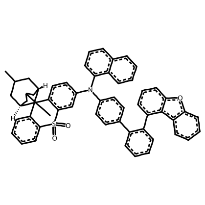 CC1C[C@H]2CC(C)C[C@H](C1)C21c2ccccc2S(=O)(=O)c2cc(N(c3ccc(-c4ccccc4-c4cccc5oc6ccccc6c45)cc3)c3cccc4ccccc34)ccc21